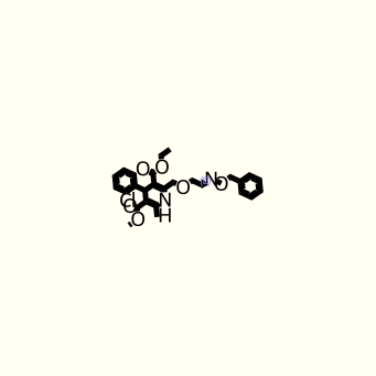 CCOC(=O)C1=C(COC/C=N/OCc2ccccc2)NC(C)=C(C(=O)OC)C1c1ccccc1Cl